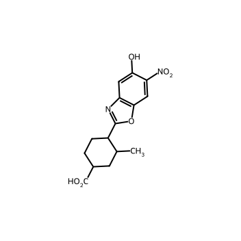 CC1CC(C(=O)O)CCC1c1nc2cc(O)c([N+](=O)[O-])cc2o1